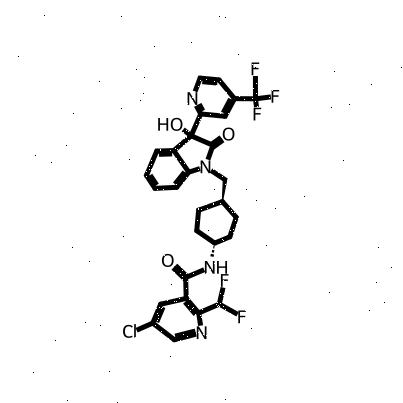 O=C(N[C@H]1CC[C@H](CN2C(=O)C(O)(c3cc(C(F)(F)F)ccn3)c3ccccc32)CC1)c1cc(Cl)cnc1C(F)F